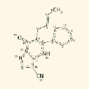 C/C=C/Cc1c(-c2ccccc2)[nH]c2c(C#N)cnn2c1=O